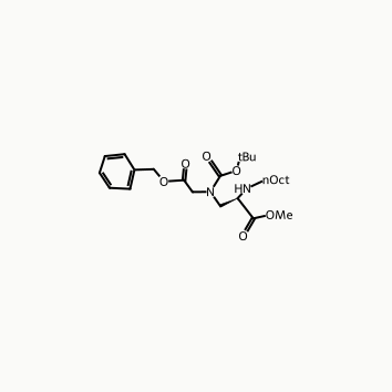 CCCCCCCCN[C@H](CN(CC(=O)OCc1ccccc1)C(=O)OC(C)(C)C)C(=O)OC